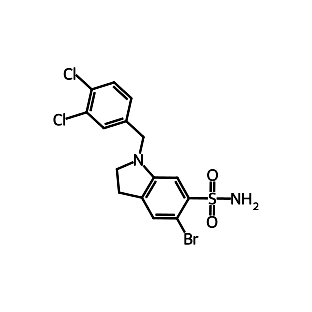 NS(=O)(=O)c1cc2c(cc1Br)CCN2Cc1ccc(Cl)c(Cl)c1